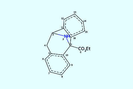 CCOC(=O)C12NC(Cc3ccccc31)c1ccccc12